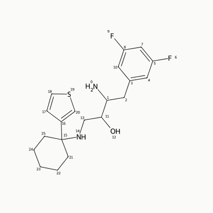 NC(Cc1cc(F)cc(F)c1)C(O)CNC1(c2ccsc2)CCCCC1